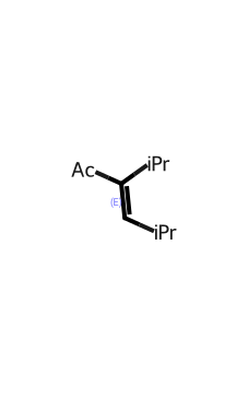 CC(=O)/C(=C/C(C)C)C(C)C